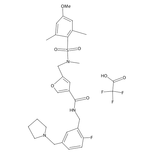 COc1cc(C)c(S(=O)(=O)N(C)Cc2cc(C(=O)NCc3cc(CN4CCCC4)ccc3F)co2)c(C)c1.O=C(O)C(F)(F)F